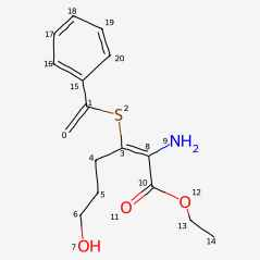 C=C(S/C(CCCO)=C(\N)C(=O)OCC)c1ccccc1